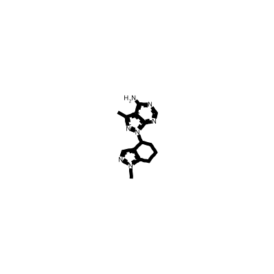 Cc1nn(C2CCCc3c2cnn3C)c2ncnc(N)c12